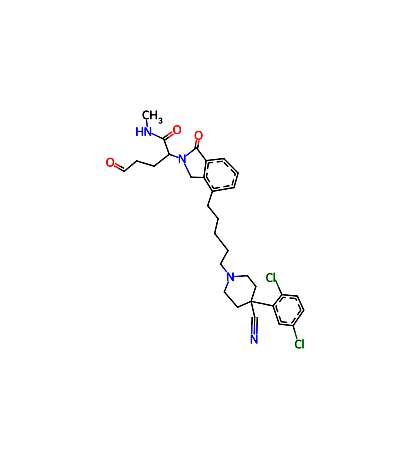 CNC(=O)C(CCC=O)N1Cc2c(CCCCCN3CCC(C#N)(c4cc(Cl)ccc4Cl)CC3)cccc2C1=O